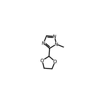 Cn1ncnc1C1OCCO1